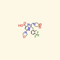 Cc1c(Cc2c(CN3CCS(=O)(=O)CC3)nc3c(C(=O)O)cc(N4CCOCC4)nn23)cccc1C(F)(F)F